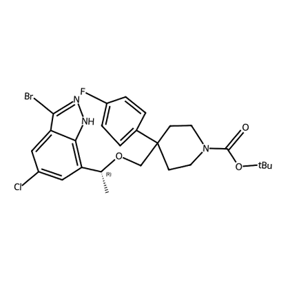 C[C@@H](OCC1(c2ccc(F)cc2)CCN(C(=O)OC(C)(C)C)CC1)c1cc(Cl)cc2c(Br)n[nH]c12